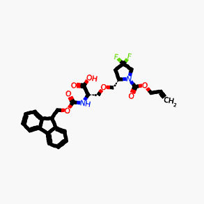 C=CCOC(=O)N1CC(F)(F)C[C@H]1COC[C@H](NC(=O)OCC1c2ccccc2-c2ccccc21)C(=O)O